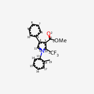 COC(=O)c1c(-c2ccccc2)cn(-c2ccccc2C)c1C(F)(F)F